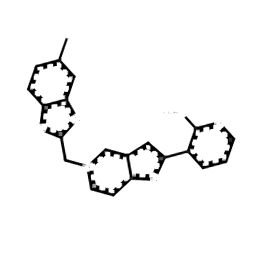 COc1ncccc1-c1cc2cn(Cc3nc4cc(C)ccc4o3)ccc-2n1